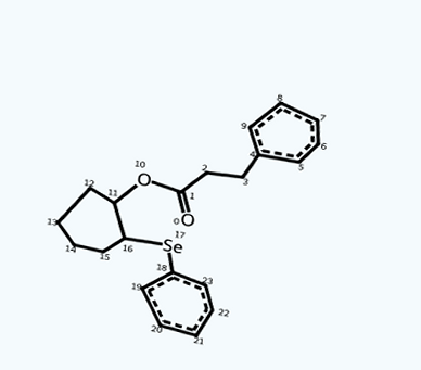 O=C(CCc1ccccc1)OC1CCCCC1[Se]c1ccccc1